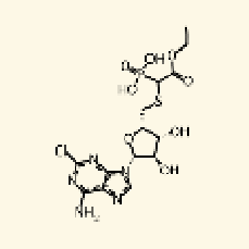 CCOC(=O)C(SC[C@H]1O[C@@H](n2cnc3c(N)nc(Cl)nc32)[C@H](O)[C@H]1O)P(=O)(O)O